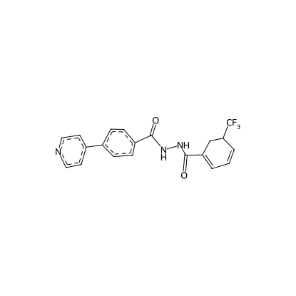 O=C(NNC(=O)c1ccc(-c2ccncc2)cc1)C1=CC=CC(C(F)(F)F)C1